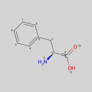 N[C@@H](Cc1ccccc1)[13C](=O)O